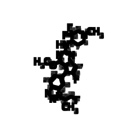 COc1nc(N[C@@H]2CCN(C)CC2(F)F)nn2cc(F)c(-c3ccc4nnn([C@@H](C)CF)c4c3)c12